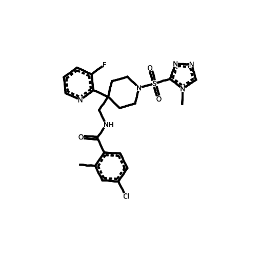 Cc1cc(Cl)ccc1C(=O)NCC1(c2ncccc2F)CCN(S(=O)(=O)c2nncn2C)CC1